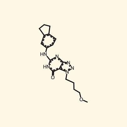 COCCCCn1nnc2nc(Nc3ccc4c(c3)CCC4)[nH]c(=O)c21